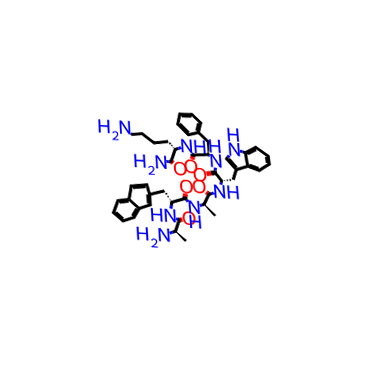 C[C@@H](N)C(=O)N[C@H](Cc1ccc2ccccc2c1)C(=O)N[C@H](C)C(=O)N[C@@H](Cc1c[nH]c2ccccc12)C(=O)N[C@H](Cc1ccccc1)C(=O)N[C@@H](CCCCN)C(N)=O